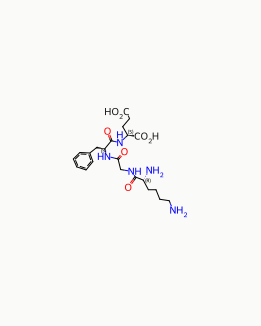 NCCCC[C@@H](N)C(=O)NCC(=O)N[C@@H](Cc1ccccc1)C(=O)N[C@@H](CCC(=O)O)C(=O)O